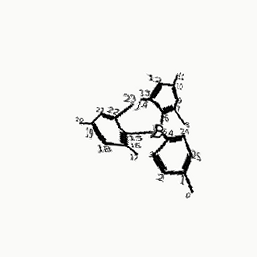 Cc1ccc(B(c2c(C)cc(C)cc2C)c2c(C)cc(C)cc2C)cc1